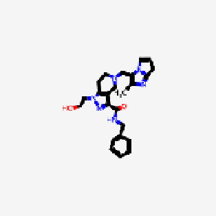 Cc1nc2n(c1CN1CCc3c(c(C(=O)NCc4ccccc4)nn3CCO)C1)C=CC2